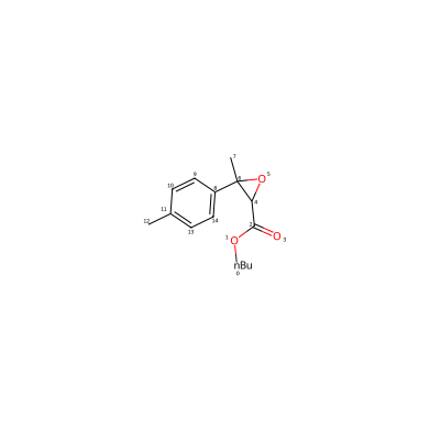 CCCCOC(=O)C1OC1(C)c1ccc(C)cc1